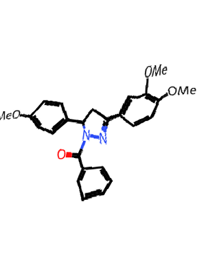 COc1ccc(C2CC(c3ccc(OC)c(OC)c3)=NN2C(=O)c2ccccc2)cc1